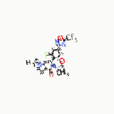 C[C@H]1COc2cc(-c3noc(C(F)(F)F)n3)cc(F)c2CN1C(=O)[C@@H]1CCN(C)C1